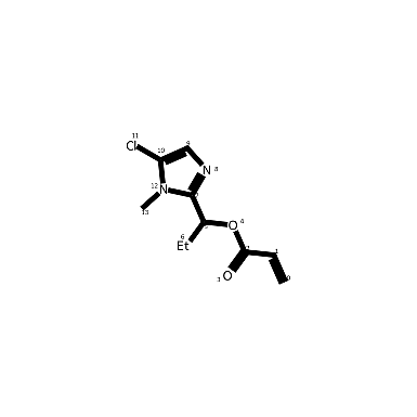 C=CC(=O)OC(CC)c1ncc(Cl)n1C